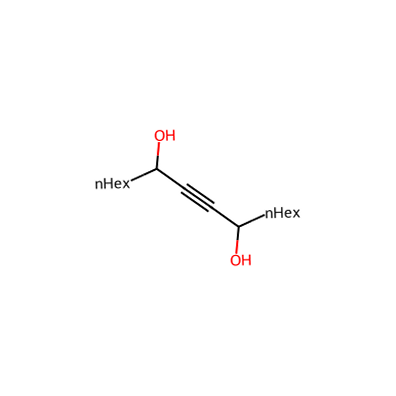 CCCCCCC(O)C#CC(O)CCCCCC